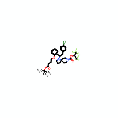 CC(C)(C)OC(=O)CCCOc1ccccc1C(Cc1ccc(Cl)cc1)N1CCCC12CCN(C(=O)OC(C(F)(F)F)C(F)(F)F)CC2